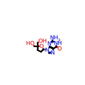 Nc1nc2c(ncn2[C@H]2CCC(CO)(CO)O2)c(=O)[nH]1